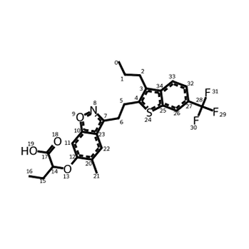 CCCc1c(CCc2noc3cc(OC(CC)C(=O)O)c(C)cc23)sc2cc(C(F)(F)F)ccc12